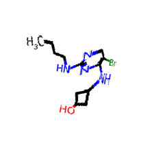 CCCCNc1ncc(Br)c(NC2CC(O)C2)n1